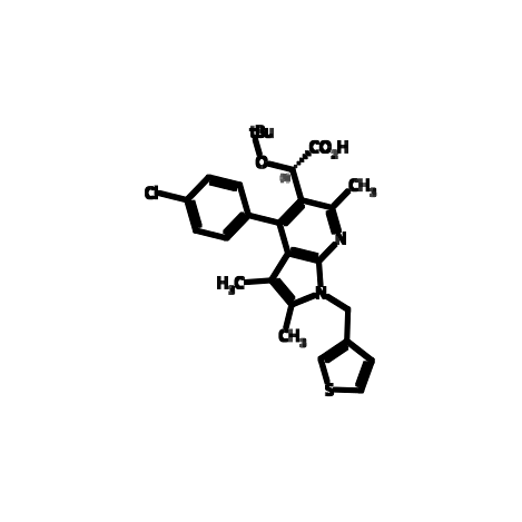 Cc1nc2c(c(C)c(C)n2Cc2ccsc2)c(-c2ccc(Cl)cc2)c1[C@H](OC(C)(C)C)C(=O)O